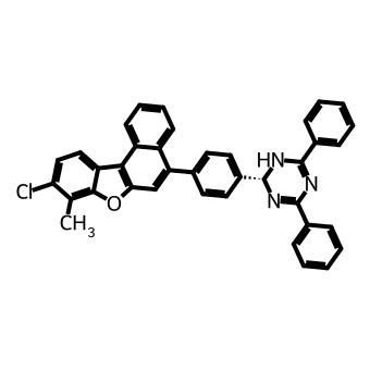 Cc1c(Cl)ccc2c1oc1cc(-c3ccc([C@H]4N=C(c5ccccc5)N=C(c5ccccc5)N4)cc3)c3ccccc3c12